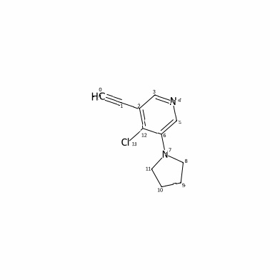 C#Cc1cncc(N2CCCC2)c1Cl